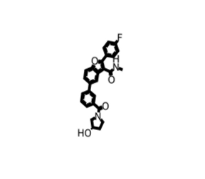 CNC(=O)c1c(-c2ccc(F)cc2)oc2ccc(-c3cccc(C(=O)N4CC[C@@H](O)C4)c3)cc12